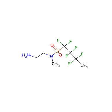 CN(CCN)S(=O)(=O)C(F)(F)C(F)(F)C(F)(F)C(F)(F)F